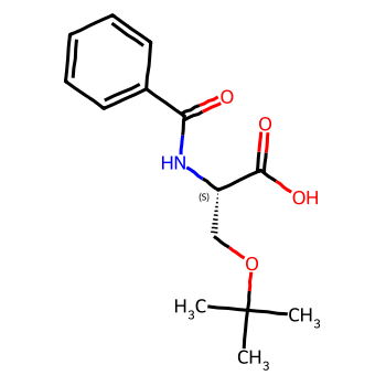 CC(C)(C)OC[C@H](NC(=O)c1ccccc1)C(=O)O